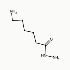 NCCCCCC(=O)NN